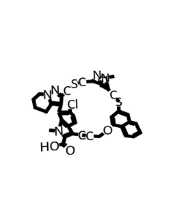 Cn1nc2c(Cl)c1CSc1cc(c3ccccc3c1)OCCCc1c(C(=O)O)n(C)c3c(c(Cl)ccc13)-c1c(nn3c1CCCC3)CSC2